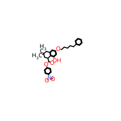 CC1(C)Cc2cc(OCCCCCc3ccccc3)cc(O)c2C(C(=O)Oc2ccc([N+](=O)[O-])cc2)C1